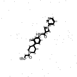 CC(C)(C)CC(=O)N1CCC(c2ccc(NC(=O)C3CN(c4cccnn4)C3)cc2F)CC1